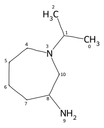 CC(C)N1CCCCC(N)C1